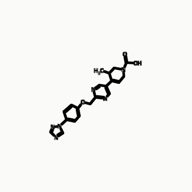 CC1CN(C(=O)O)CC=C1c1cnc(COc2ccc(-n3cncn3)cc2)nc1